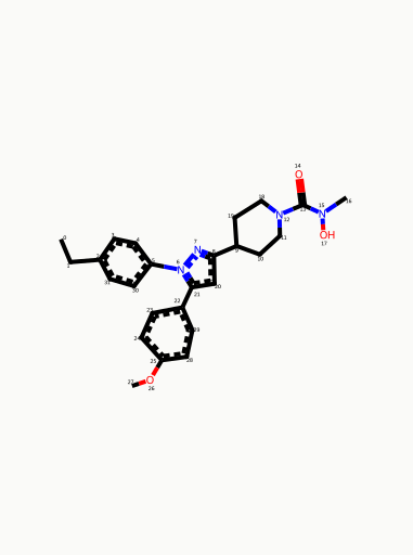 CCc1ccc(-n2nc(C3CCN(C(=O)N(C)O)CC3)cc2-c2ccc(OC)cc2)cc1